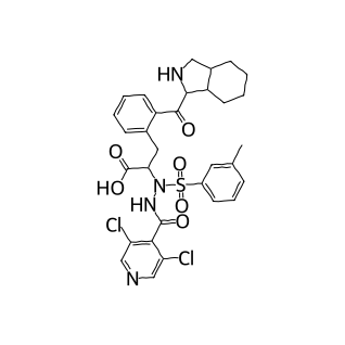 Cc1cccc(S(=O)(=O)N(NC(=O)c2c(Cl)cncc2Cl)C(Cc2ccccc2C(=O)C2NCC3CCCCC32)C(=O)O)c1